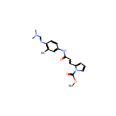 CN(C)C=Nc1ccc(NC(=O)/C=C/c2cccn2C(=O)OC(C)(C)C)cc1C#N